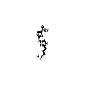 CCCCc1ncn(Sc2ncc([N+](=O)[O-])s2)n1